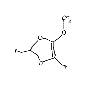 FC1=C(OC(F)(F)F)OC(F)O1